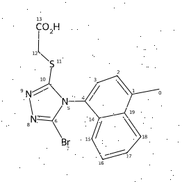 Cc1ccc(-n2c(Br)nnc2SCC(=O)O)c2ccccc12